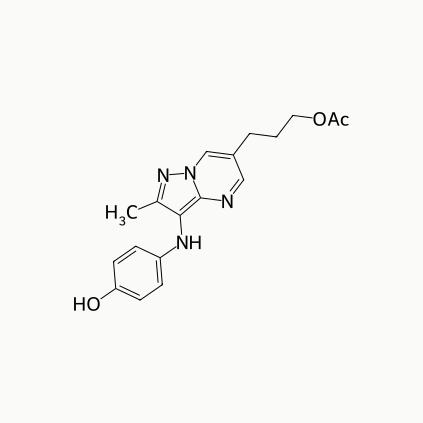 CC(=O)OCCCc1cnc2c(Nc3ccc(O)cc3)c(C)nn2c1